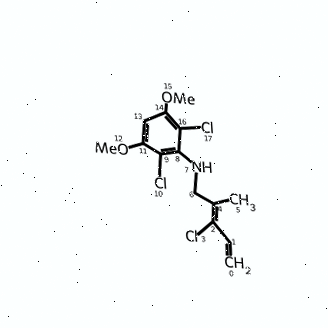 C=C/C(Cl)=C(\C)CNc1c(Cl)c(OC)cc(OC)c1Cl